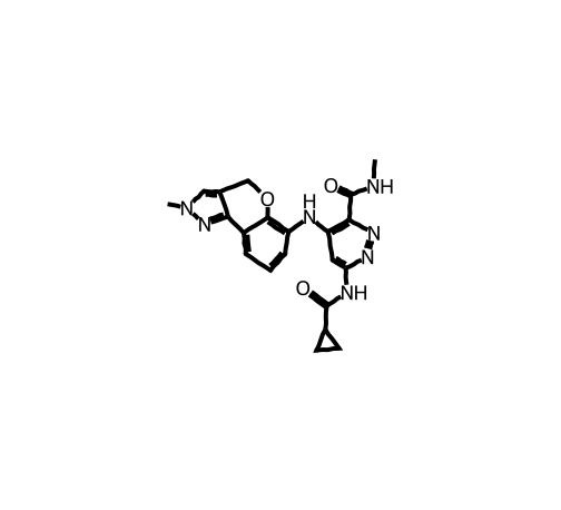 CNC(=O)c1nnc(NC(=O)C2CC2)cc1Nc1cccc2c1OCc1cn(C)nc1-2